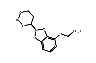 O=C(O)COc1cccc2c1ON(C1CCONO1)O2